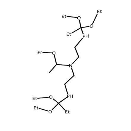 CCOC(CC)(OCC)PCCN(CCPC(CC)(OCC)OCC)C(C)OC(C)C